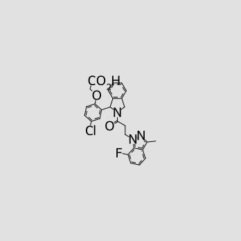 Cc1nn(CCC(=O)N2Cc3ccccc3C2c2cc(Cl)ccc2OCC(=O)O)c2c(F)cccc12